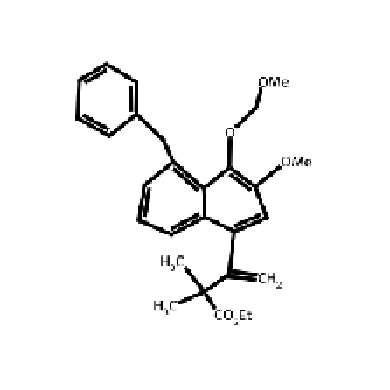 C=C(c1cc(OC)c(OCOC)c2c(Cc3ccccc3)cccc12)C(C)(C)C(=O)OCC